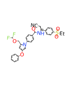 CCS(=O)(=O)c1ccc([C@H](CC#N)NC(=O)c2ccc(-n3cc(Oc4ccccc4)cc3COC(F)F)cc2)cc1